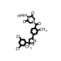 CCCCCCN1C(=O)CN(C(=O)c2ccc(C3=NOC(c4cc(Cl)cc(Cl)c4)(C(F)(F)F)C3)cc2C)CC1=O